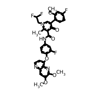 COc1cc(F)ccc1-c1cn(CC(F)F)c(C)c(C(=O)Nc2ccc(Oc3ccnc4cc(OC)c(OC)nc34)c(F)c2)c1=O